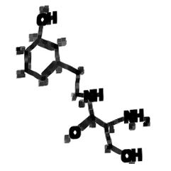 NC(CO)C(=O)NCCc1cccc(O)c1